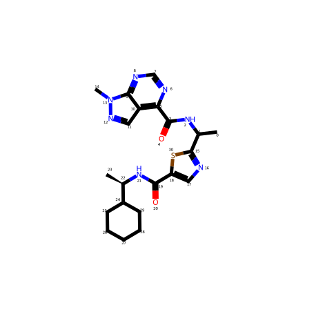 CC(NC(=O)c1ncnc2c1cnn2C)c1ncc(C(=O)N[C@H](C)C2CCCCC2)s1